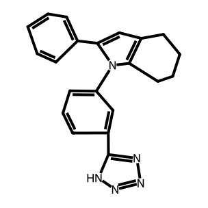 c1ccc(-c2cc3c(n2-c2cccc(-c4nnn[nH]4)c2)CCCC3)cc1